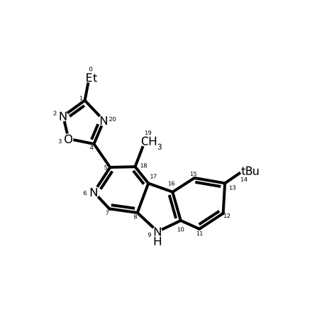 CCc1noc(-c2ncc3[nH]c4ccc(C(C)(C)C)cc4c3c2C)n1